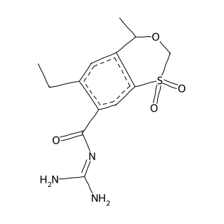 CCc1cc2c(cc1C(=O)N=C(N)N)S(=O)(=O)COC2C